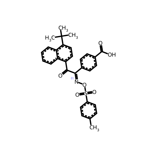 Cc1ccc(S(=O)(=O)O/N=C(/C(=O)c2ccc(C(C)(C)C)c3ccccc23)c2ccc(C(=O)O)cc2)cc1